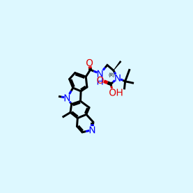 Cc1c2ccncc2cc2c3cc(C(=O)NC[C@@H](C)N(C(=O)O)C(C)(C)C)ccc3n(C)c12